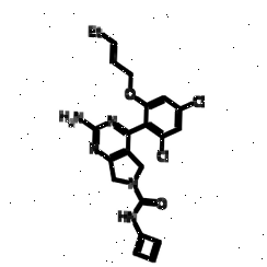 CC/C=C/COc1cc(Cl)cc(Cl)c1-c1nc(N)nc2c1CN(C(=O)NC1=CC=C1)C2